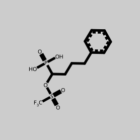 O=P(O)(O)C(CCCc1ccccc1)OS(=O)(=O)C(F)(F)F